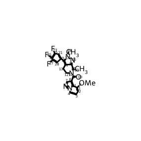 COc1cccn2ncc(C(=O)N3CCc4c(nn(C)c4-c4cc(F)c(F)c(F)c4)[C@@H]3C)c12